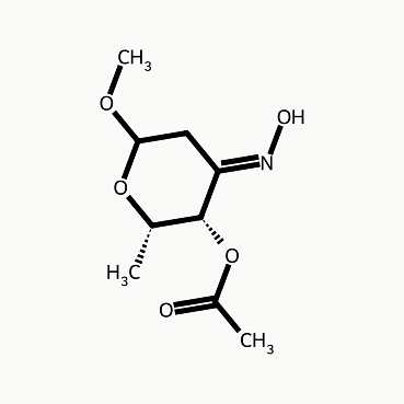 COC1C/C(=N\O)[C@H](OC(C)=O)[C@H](C)O1